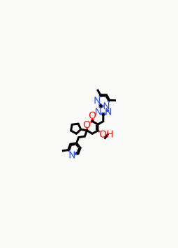 CC.Cc1cc(CCC2(C3CCCC3)CC(O)=C(Cc3nc4nc(C)cc(C)n4n3)C(=O)O2)ccn1